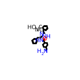 N#CC1(c2c[nH]c([C@H](Cc3ccccc3)NC(=O)C3CCC(CN)CC3)n2)C=CC=CC1C(=O)O